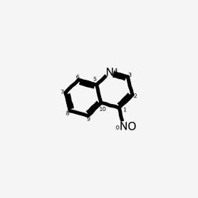 O=Nc1ccnc2ccccc12